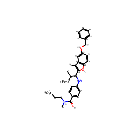 CCCCCC(C)C(Nc1ccc(C(=O)N(C)CCC(=O)O)cc1)c1oc2ccc(OCc3ccccc3)cc2c1C